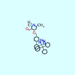 Cc1cc(OCc2ccc(-c3ccccc3C3(C(c4ccccc4)(c4ccccc4)c4ccccc4)N=NN=N3)cc2)c(C=O)c(C)n1